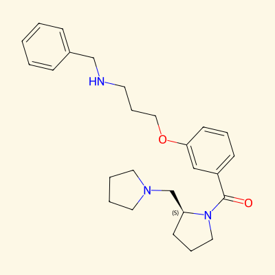 O=C(c1cccc(OCCCNCc2ccccc2)c1)N1CCC[C@H]1CN1CCCC1